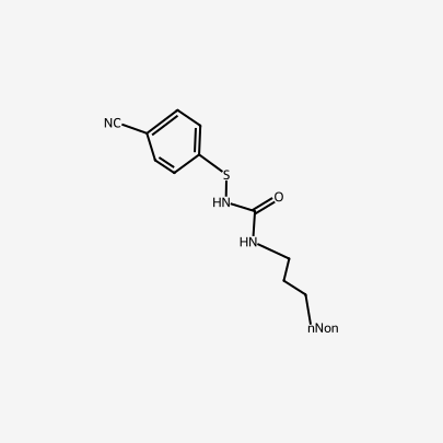 CCCCCCCCCCCCNC(=O)NSc1ccc(C#N)cc1